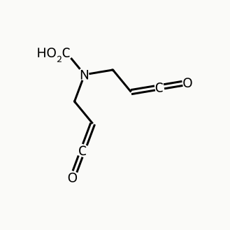 O=C=CCN(CC=C=O)C(=O)O